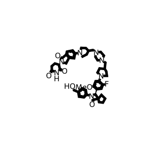 COc1cc(N2CCC(CN3CCN(CC4CCN(c5ccc6c(c5)CN([C@H]5CCC(=O)NC5=O)C6=O)CC4)CC3)CC2)c(F)cc1[C@@H]1N(c2ccc(CO)cc2)C(=O)C12CCCC2